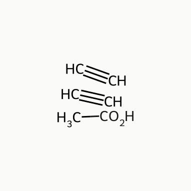 C#C.C#C.CC(=O)O